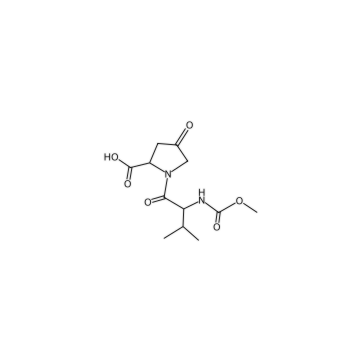 COC(=O)NC(C(=O)N1CC(=O)CC1C(=O)O)C(C)C